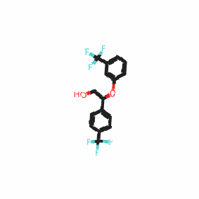 OCC(Oc1cccc(C(F)(F)F)c1)c1ccc(C(F)(F)F)cc1